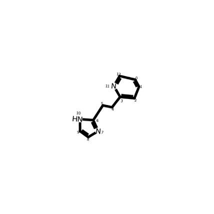 c1ccc(CCc2ncc[nH]2)nc1